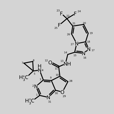 Cc1nc(NC2(C)CC2)c2c(C(=O)NCc3nnc4ccc(C(F)(F)F)cn34)coc2n1